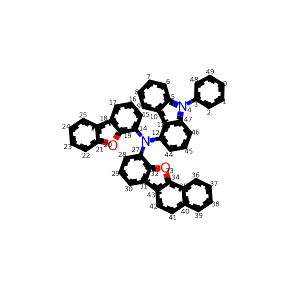 c1ccc(-n2c3ccccc3c3c(N(c4cccc5c4oc4ccccc45)c4cccc5c4oc4c6ccccc6ccc54)cccc32)cc1